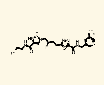 O=C(NCCC(F)(F)F)C1=CN(CC(F)CCc2nnc(C(=O)NCc3cncc(C(F)(F)F)c3)s2)NN1